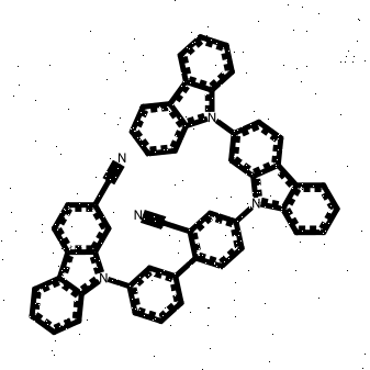 N#Cc1ccc2c3ccccc3n(-c3cccc(-c4ccc(-n5c6ccccc6c6ccc(-n7c8ccccc8c8ccccc87)cc65)cc4C#N)c3)c2c1